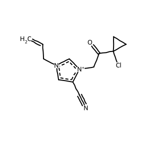 C=CCn1cc(C#N)[n+](CC(=O)C2(Cl)CC2)c1